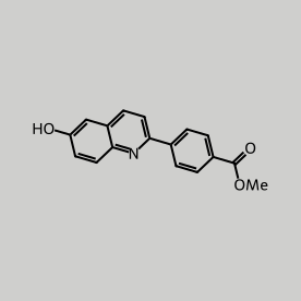 COC(=O)c1ccc(-c2ccc3cc(O)ccc3n2)cc1